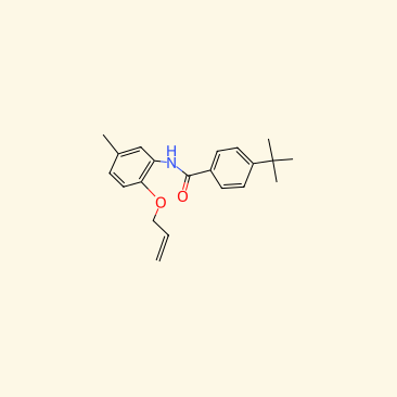 C=CCOc1ccc(C)cc1NC(=O)c1ccc(C(C)(C)C)cc1